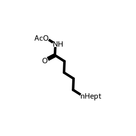 CCCCCCCCCCCC(=O)NOC(C)=O